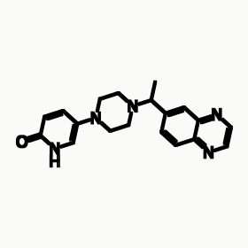 CC(c1ccc2nccnc2c1)N1CCN(c2ccc(=O)[nH]c2)CC1